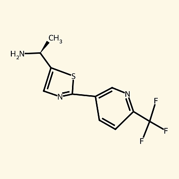 C[C@H](N)c1cnc(-c2ccc(C(F)(F)F)nc2)s1